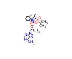 CC(C)OC(=O)C(C)NP(=O)(CO[C@@H](C)Cn1cnc2c(N)ncnc21)Oc1ccccc1